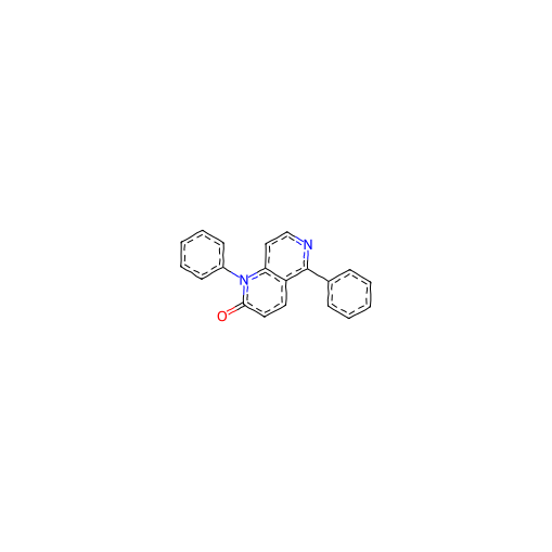 O=c1ccc2c(-c3ccccc3)nccc2n1-c1ccccc1